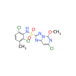 COc1nc(Cl)cc2nc(S(=O)(=O)Nc3c(Cl)ccc(C)c3Cl)nn12